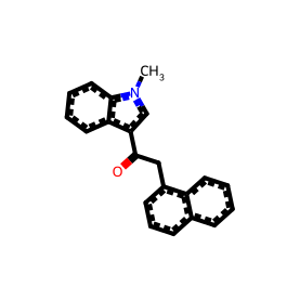 Cn1cc(C(=O)Cc2cccc3ccccc23)c2ccccc21